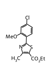 CCOC(=O)c1sc(-c2ccc(Cl)cc2OC)nc1C